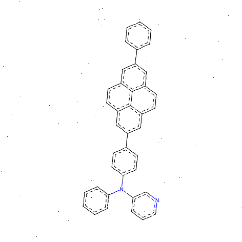 c1ccc(-c2cc3ccc4cc(-c5ccc(N(c6ccccc6)c6cccnc6)cc5)cc5ccc(c2)c3c45)cc1